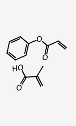 C=C(C)C(=O)O.C=CC(=O)Oc1ccccc1